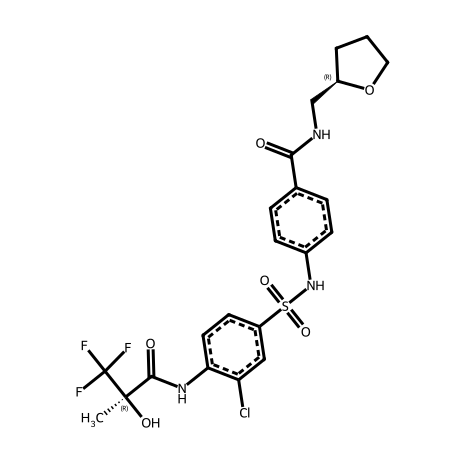 C[C@@](O)(C(=O)Nc1ccc(S(=O)(=O)Nc2ccc(C(=O)NC[C@H]3CCCO3)cc2)cc1Cl)C(F)(F)F